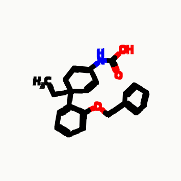 CCC1(c2ccccc2OCc2ccccc2)C=CC(NC(=O)O)=CC1